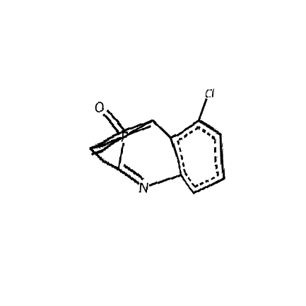 O=P12C3=Nc4cccc(Cl)c4C1=C32